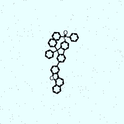 O=P(c1ccccc1)(c1ccccc1)c1ccc2c(c1)C(c1ccccc1)(c1ccccc1)c1cc(-c3ccc4oc5c6ccccc6ccc5c4c3)ccc1-2